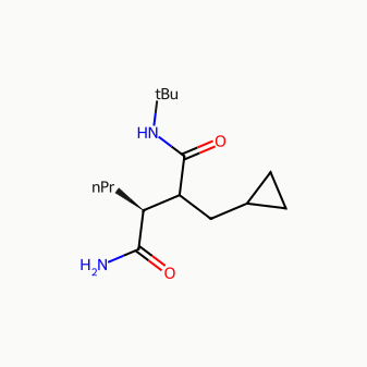 CCC[C@H](C(N)=O)C(CC1CC1)C(=O)NC(C)(C)C